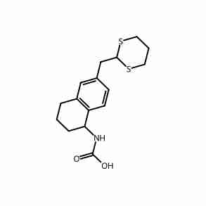 O=C(O)NC1CCCc2cc(CC3SCCCS3)ccc21